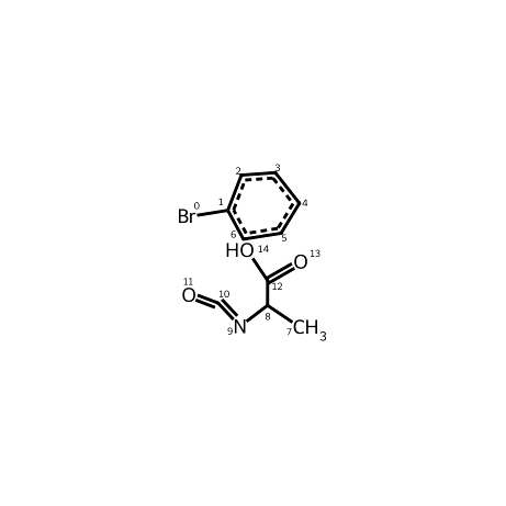 Brc1ccccc1.CC(N=C=O)C(=O)O